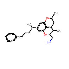 CC1CC(C(C)CCN)c2c(O)cc(C(C)CCCc3ccccc3)cc2O1